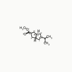 COC(=O)N1C[C@@H]2CN(C(C)C)C[C@@H]2C1